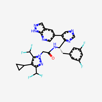 O=C(Cn1nc(C(F)F)c(C2CC2)c1C(F)F)N[C@@H](Cc1cc(F)cc(F)c1)c1ncncc1-c1cnc2[nH]ncc2c1